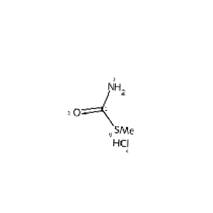 CSC(N)=O.Cl